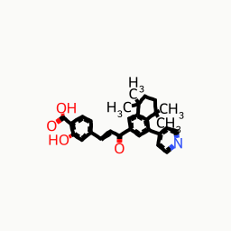 CC1(C)CCC(C)(C)c2c(-c3ccncc3)cc(C(=O)C=Cc3ccc(C(=O)O)c(O)c3)cc21